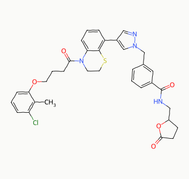 Cc1c(Cl)cccc1OCCCC(=O)N1CCSc2c(-c3cnn(Cc4cccc(C(=O)NCC5CCC(=O)O5)c4)c3)cccc21